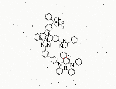 CC1(C)c2ccccc2-c2cc3c4ccccc4n(-c4ccc(-c5nc(-c6ccccc6)cc(-c6ccccc6)n5)cc4-c4nc(-c5ccccc5)nc(-c5cccc(-c6ccc(N7c8ccccc8B8c9ccccc9N(c9ccccc9)c9cccc7c98)cc6)c5)n4)c3cc21